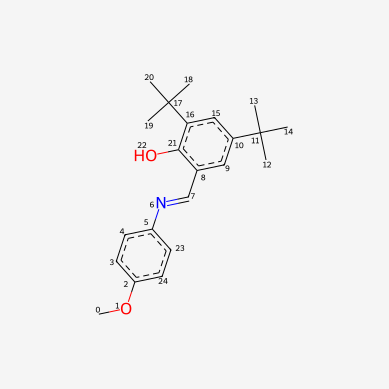 COc1ccc(/N=C/c2cc(C(C)(C)C)cc(C(C)(C)C)c2O)cc1